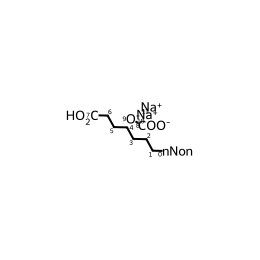 CCCCCCCCCCCCCCCC(=O)O.O=C([O-])[O-].[Na+].[Na+]